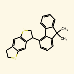 CC1(C)c2ccccc2-c2c(C3CSc4cc5c(cc43)SCC5)cccc21